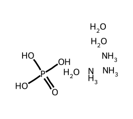 N.N.N.O.O.O.O=P(O)(O)O